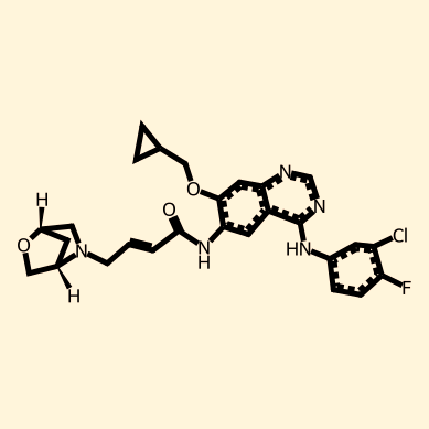 O=C(C=CCN1C[C@@H]2C[C@H]1CO2)Nc1cc2c(Nc3ccc(F)c(Cl)c3)ncnc2cc1OCC1CC1